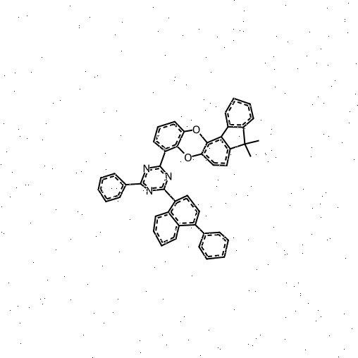 CC1(C)c2ccccc2-c2c1ccc1c2Oc2cccc(-c3nc(-c4ccccc4)nc(-c4ccc(-c5ccccc5)c5ccccc45)n3)c2O1